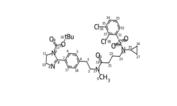 CN(CCc1ccc(C2=NCCN2C(=O)OC(C)(C)C)cc1)C(=O)CCCN(C1CC1)S(=O)(=O)c1cccc(Cl)c1Cl